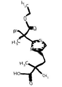 CCOC(=O)C(C)(Br)c1nc(CC(C)(C)C(=O)O)cs1